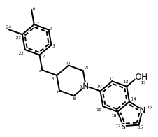 Cc1ccc(CC2CCN(c3cc(O)c4ncsc4c3)CC2)cc1C